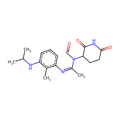 C/C(=N/c1cccc(NC(C)C)c1C)N(C=O)C1CCC(=O)NC1=O